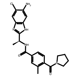 Cc1cc(C(=O)N[C@@H](C)c2nc3cc(Cl)c(N)cc3[nH]2)ccc1C(=O)N1CCCC1